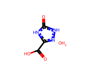 O.O=C(O)c1n[nH]c(=O)[nH]1